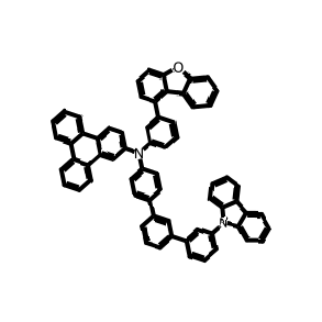 c1cc(-c2ccc(N(c3cccc(-c4cccc5oc6ccccc6c45)c3)c3ccc4c5ccccc5c5ccccc5c4c3)cc2)cc(-c2cccc(-n3c4ccccc4c4ccccc43)c2)c1